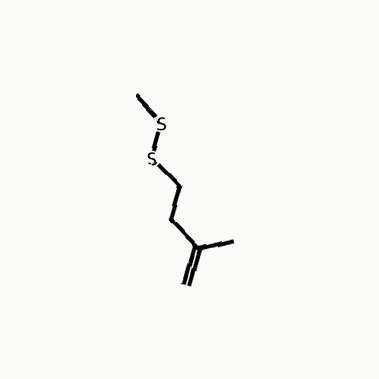 C=C(C)CCSSC